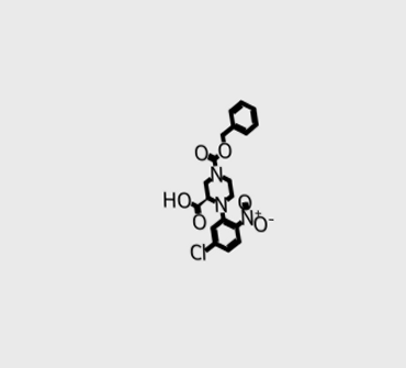 O=C(O)[C@H]1CN(C(=O)OCc2ccccc2)CCN1c1cc(Cl)ccc1[N+](=O)[O-]